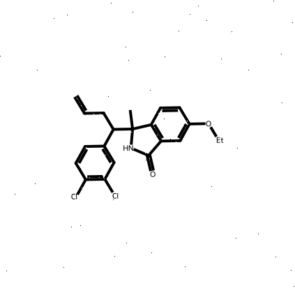 C=CCC(c1ccc(Cl)c(Cl)c1)C1(C)NC(=O)c2cc(OCC)ccc21